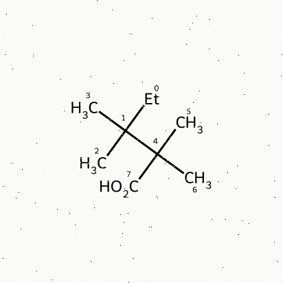 CCC(C)(C)C(C)(C)C(=O)O